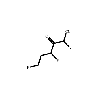 N#CC(F)C(=O)C(F)CCF